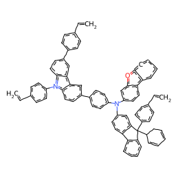 C=Cc1ccc(-c2ccc3c(c2)c2cc(-c4ccc(N(c5ccc6c(c5)C(c5ccc(C=C)cc5)(C5C=CC=CC5)c5ccccc5-6)c5ccc6c(c5)oc5ccccc56)cc4)ccc2n3-c2ccc(C=C)cc2)cc1